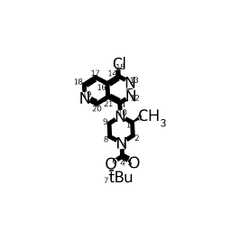 C[C@H]1CN(C(=O)OC(C)(C)C)CCN1c1nnc(Cl)c2ccncc12